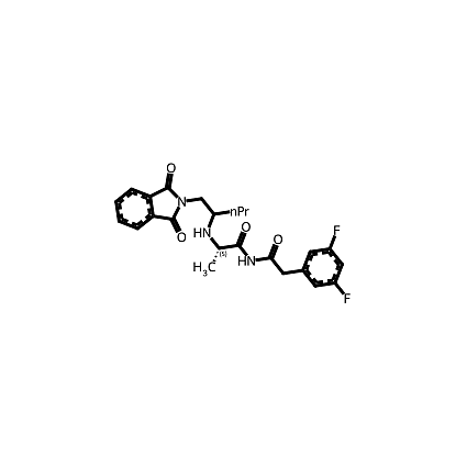 CCCC(CN1C(=O)c2ccccc2C1=O)N[C@@H](C)C(=O)NC(=O)Cc1cc(F)cc(F)c1